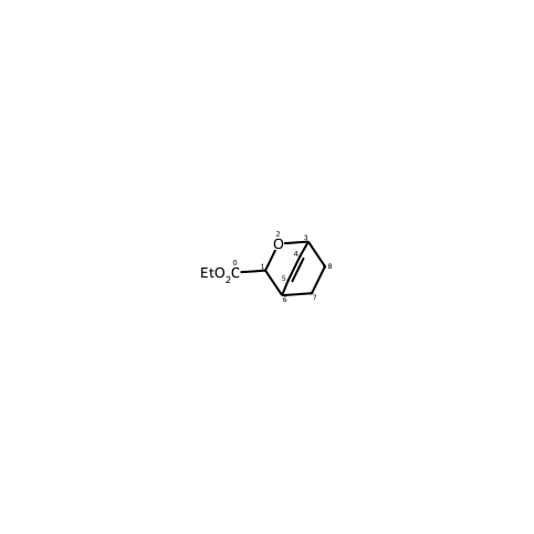 CCOC(=O)C1OC2C=CC1CC2